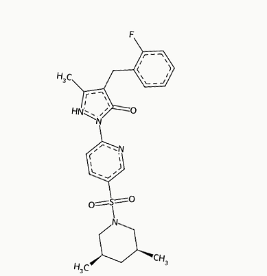 Cc1[nH]n(-c2ccc(S(=O)(=O)N3C[C@H](C)C[C@H](C)C3)cn2)c(=O)c1Cc1ccccc1F